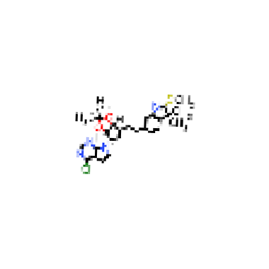 CSC1=Nc2cc(CCC3=C[C@@H](n4ccc5c(Cl)ncnc54)[C@@H]4OC(C)(C)O[C@H]34)ccc2C1(C)C